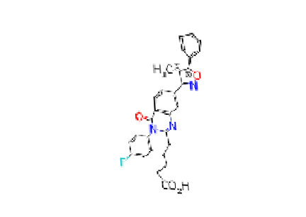 C[C@H]1C(c2ccc3c(=O)n(-c4ccc(F)cc4)c(CCCCC(=O)O)nc3c2)=NO[C@@H]1c1ccccc1